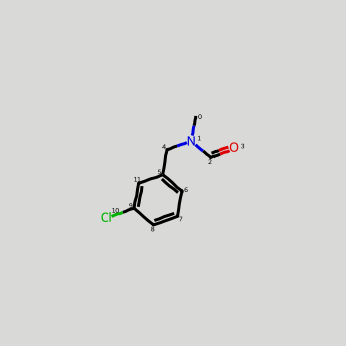 CN([C]=O)Cc1cccc(Cl)c1